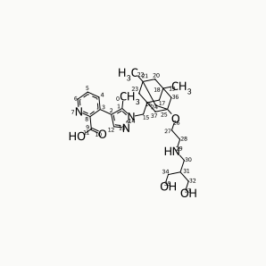 Cc1c(-c2cccnc2C(=O)O)cnn1CC12CC3(C)CC(C)(C1)CC(OCCNCC(CO)CO)(C3)C2